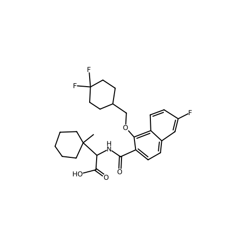 CC1(C(NC(=O)c2ccc3cc(F)ccc3c2OCC2CCC(F)(F)CC2)C(=O)O)CCCCC1